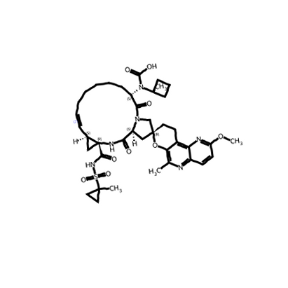 COc1ccc2nc(C)c3c(c2n1)CC[C@]1(C[C@H]2C(=O)N[C@]4(C(=O)NS(=O)(=O)C5(C)CC5)C[C@H]4/C=C\CCCCC[C@H](N(C(=O)O)C4(C)CCC4)C(=O)N2C1)O3